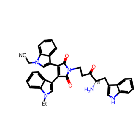 CCn1cc(C2=C(c3cn(CC#N)c4ccccc34)C(=O)N(CCC(=O)[C@@H](N)Cc3c[nH]c4ccccc34)C2=O)c2ccccc21